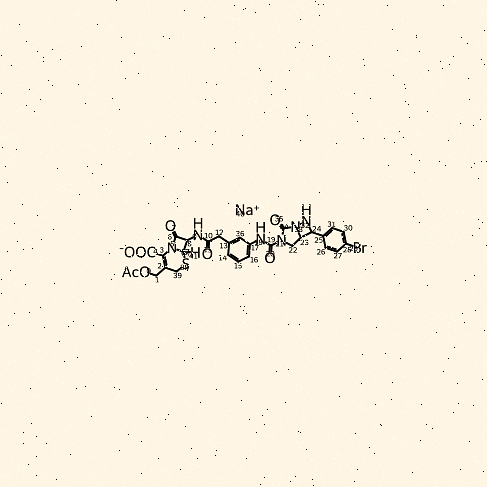 CC(=O)OCC1=C(C(=O)[O-])N2C(=O)C(NC(=O)Cc3cccc(NC(=O)N4CC5C(c6ccc(Br)cc6)NN5C4=O)c3)[C@@H]2SC1.[Na+]